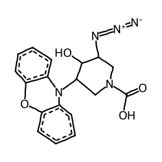 [N-]=[N+]=NC1CN(C(=O)O)CC(N2c3ccccc3Oc3ccccc32)C1O